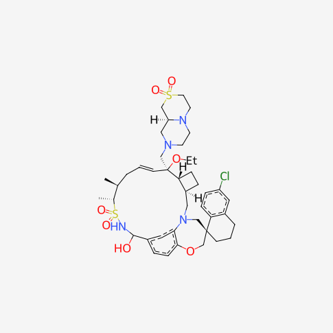 CCO[C@]1(CN2CCN3CCS(=O)(=O)C[C@@H]3C2)/C=C/C[C@H](C)[C@@H](C)S(=O)(=O)NC(O)c2ccc3c(c2)N(C[C@@H]2CC[C@H]21)C[C@@]1(CCCc2cc(Cl)ccc21)CO3